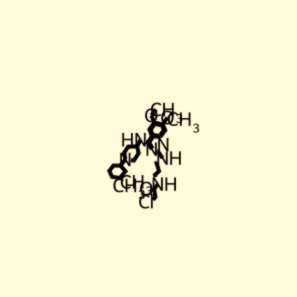 COc1cc2nc(NCCCNC(=O)CCl)nc(NC3CCN(C4CCCC(C)(C)C4)CC3)c2cc1OC